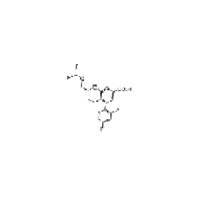 O=C(O)c1cc(-c2ccc(F)cc2F)c2c(n1)OC(COC(F)F)CC2